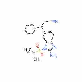 CC(C)S(=O)(=O)n1c(N)nc2ccc(/C(=C\C#N)c3ccccc3)cc21